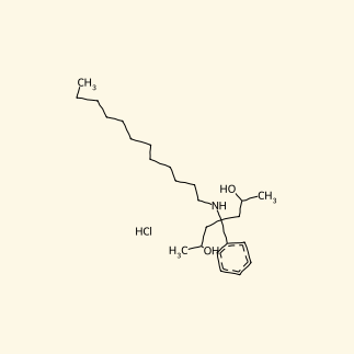 CCCCCCCCCCCCNC(CC(C)O)(CC(C)O)c1ccccc1.Cl